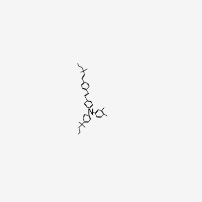 CCCC(C)(C)C=Cc1ccc(C=Cc2ccc(N(c3ccc(C(C)(C)CCC)cc3)c3ccc(C)c(C)c3)cc2)cc1